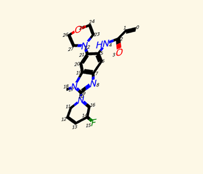 C=CC(=O)Nc1cc2nc(N3CCCC(F)C3)n(C)c2cc1N1CCOCC1